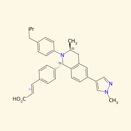 CC(C)Cc1ccc(N2[C@@H](c3ccc(/C=C/C(=O)O)cc3)c3ccc(-c4cnn(C)c4)cc3C[C@@H]2C)cc1